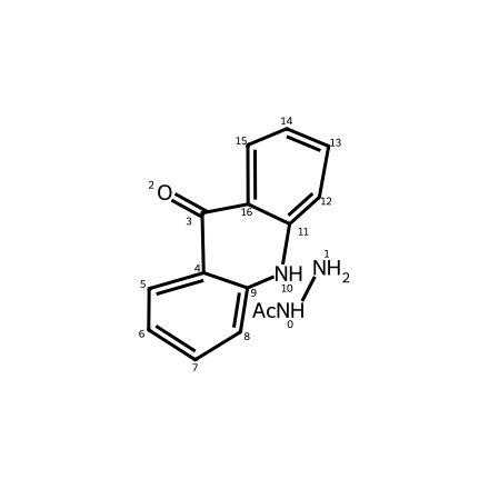 CC(=O)NN.O=c1c2ccccc2[nH]c2ccccc12